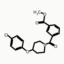 COC(=O)c1cccc(C(=O)N2CCC(Oc3ccc(Cl)cc3)CC2)c1